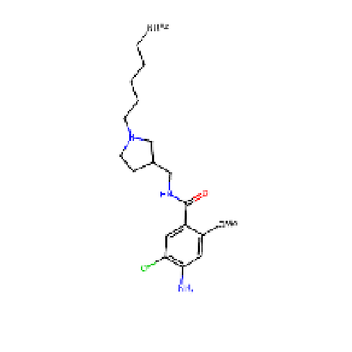 COc1cc(N)c(Cl)cc1C(=O)NCC1CCN(CCCCCNC(C)=O)C1